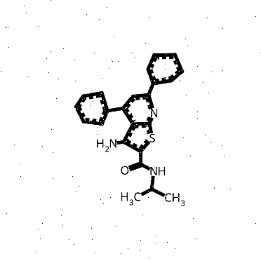 CC(C)NC(=O)c1sc2nc(-c3ccccc3)cc(-c3ccccc3)c2c1N